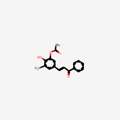 CC(C)(C)C(=O)Oc1cc(/C=C/C(=O)c2ccccc2)cc([N+](=O)[O-])c1O